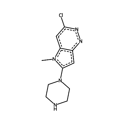 Cn1c(N2CCNCC2)cc2nnc(Cl)cc21